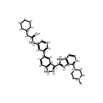 CN1CCN(c2nccc3[nH]c(-c4n[nH]c5ccc(-c6cncc(NC(=O)CC7CCCCC7)c6)cc45)nc23)CC1